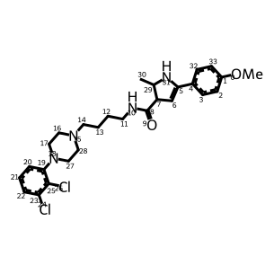 COc1ccc(C2=CC(C(=O)NCCCCN3CCN(c4cccc(Cl)c4Cl)CC3)C(C)N2)cc1